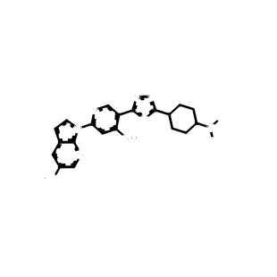 CNc1cc(-n2ccc3cc(C#N)cnc32)ncc1-c1nnc(C2CCC(N(C(=O)O)C(C)(C)C)CC2)s1